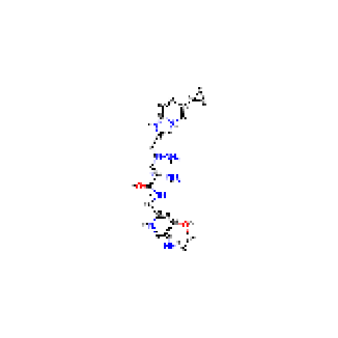 N/C(=C\N(N)Cc1cn2cc(C3CC3)ccc2n1)C(=O)NCc1cc2c(cn1)NCCO2